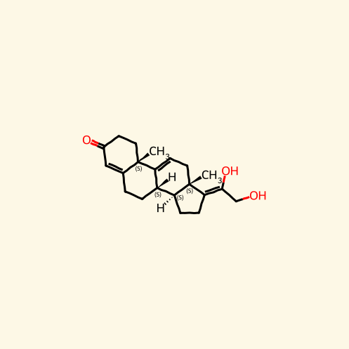 C[C@]12CCC(=O)C=C1CC[C@@H]1C2=CC[C@]2(C)C(=C(O)CO)CC[C@@H]12